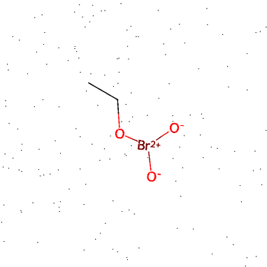 CCO[Br+2]([O-])[O-]